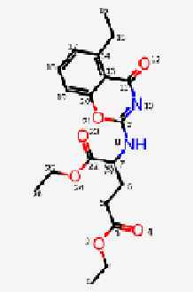 CCOC(=O)CC[C@H](Nc1nc(=O)c2c(CC)cccc2o1)C(=O)OCC